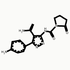 C=C(N)c1c(-c2ccc(N)cc2)nsc1NC(=O)N1CCCC1=O